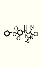 COc1cc(Nc2nc(SC)nc(Cl)c2C#N)cc(OC)c1OCc1ccccc1